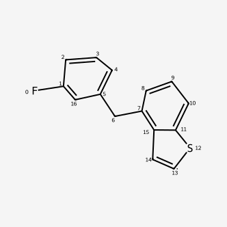 Fc1cccc(Cc2cccc3s[c]cc23)c1